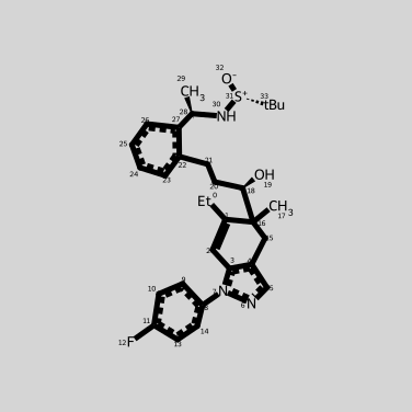 CCC1=Cc2c(cnn2-c2ccc(F)cc2)CC1(C)[C@H](O)CCc1ccccc1[C@@H](C)N[S@+]([O-])C(C)(C)C